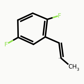 C[C]=Cc1cc(F)ccc1F